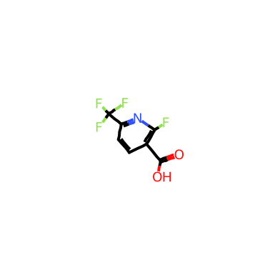 O=C(O)c1ccc(C(F)(F)F)nc1F